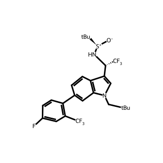 CC(C)(C)Cn1cc([C@H](N[S@+]([O-])C(C)(C)C)C(F)(F)F)c2ccc(-c3ccc(F)cc3C(F)(F)F)cc21